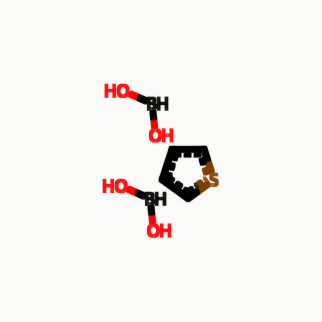 OBO.OBO.c1ccsc1